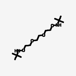 CC(C)(C)NOCCOCCOCCONC(C)(C)C